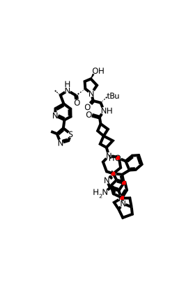 Cc1ncsc1-c1ccc([C@H](C)NC(=O)[C@@H]2C[C@@H](O)CN2C(=O)[C@@H](NC(=O)C2CC3(C2)CC(N2CCC(c4ccc(N5C6CCC5CN(c5cc(-c7ccccc7O)nnc5N)C6)cc4)CC2)C3)C(C)(C)C)cn1